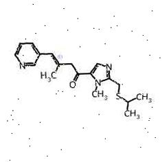 C/C(=C\c1cccnc1)CC(=O)c1cnc(CSC(C)C)n1C